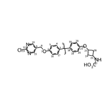 CC(C)(c1ccc(OCc2cnc(Cl)nc2)cc1)c1ccc(OC2CC(NC(=O)O)C2)cc1